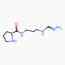 NN=CNCCCNC(=O)[C@@H]1CCCN1